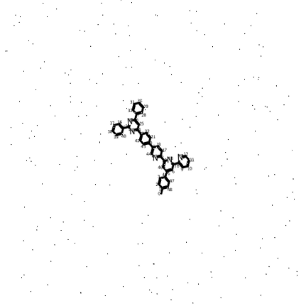 Cc1ccc(-c2cc(-c3ccccn3)nc(-c3ccc(-c4ccc(-c5cc(-c6ccccc6)nc(-c6ccccc6)n5)cc4)cn3)c2)cc1